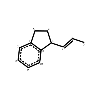 CC=CC1CCc2ccccc21